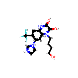 O=c1[nH]c2cc(C(F)(F)F)c(-n3ccnc3)cc2n(CCCCO)c1=O